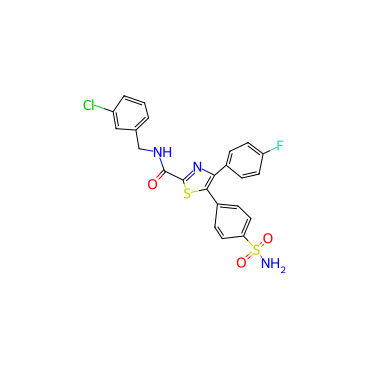 NS(=O)(=O)c1ccc(-c2sc(C(=O)NCc3cccc(Cl)c3)nc2-c2ccc(F)cc2)cc1